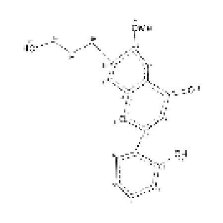 COc1cc2c(=O)cc(-c3ccccc3O)oc2cc1CCCO